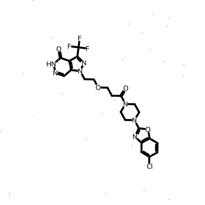 O=C(CCOCCn1nc(C(F)(F)F)c2c(=O)[nH]ncc21)N1CCN(c2nc3cc(Cl)ccc3o2)CC1